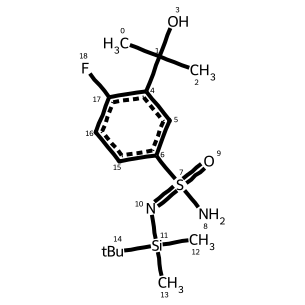 CC(C)(O)c1cc(S(N)(=O)=N[Si](C)(C)C(C)(C)C)ccc1F